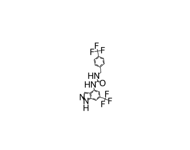 O=C(NCc1ccc(C(F)(F)F)cc1)Nc1cc(C(F)(F)F)cc2[nH]ncc12